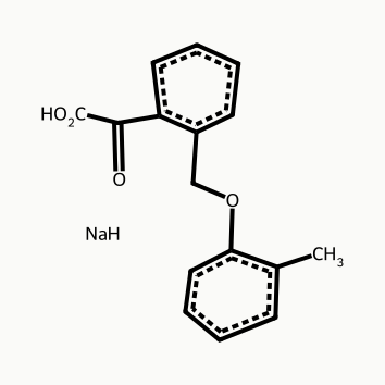 Cc1ccccc1OCc1ccccc1C(=O)C(=O)O.[NaH]